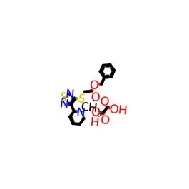 CN1CCC=CC1c1nsnc1SCC(=O)OCc1ccccc1.O=C(O)C(=O)O